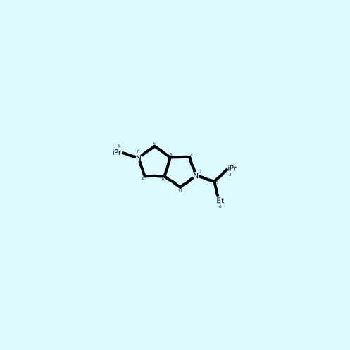 CCC(C(C)C)N1CC2CN(C(C)C)CC2C1